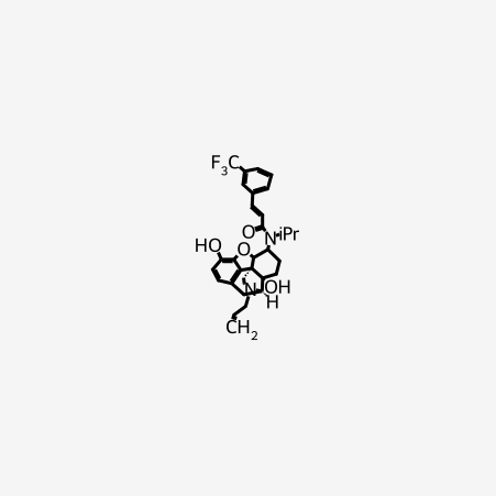 C=CCN1CC[C@]23c4c5ccc(O)c4OC2C(N(C(=O)/C=C/c2cccc(C(F)(F)F)c2)C(C)C)CC[C@@]3(O)[C@H]1C5